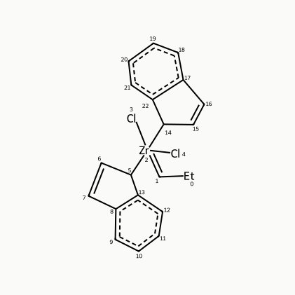 CC[CH]=[Zr]([Cl])([Cl])([CH]1C=Cc2ccccc21)[CH]1C=Cc2ccccc21